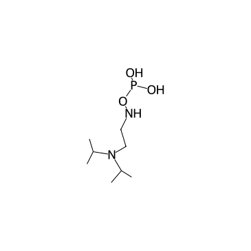 CC(C)N(CCNOP(O)O)C(C)C